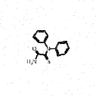 NC(=O)C(=S)N(c1ccccc1)c1ccccc1